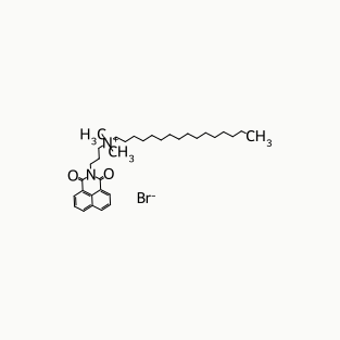 CCCCCCCCCCCCCCCC[N+](C)(C)CCCN1C(=O)c2cccc3cccc(c23)C1=O.[Br-]